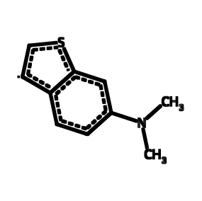 CN(C)c1ccc2[c]csc2c1